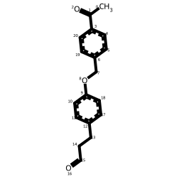 CC(=O)c1ccc(COc2ccc(CCC=O)cc2)cc1